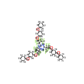 FC(F)(F)C(F)(c1nc(C(F)(C(F)(F)F)C(F)(F)Oc2cccc(Oc3ccccc3)c2)nc(C(F)(C(F)(F)F)C(F)(F)Oc2cccc(Oc3ccccc3)c2)n1)C(F)(F)Oc1cccc(Oc2ccccc2)c1